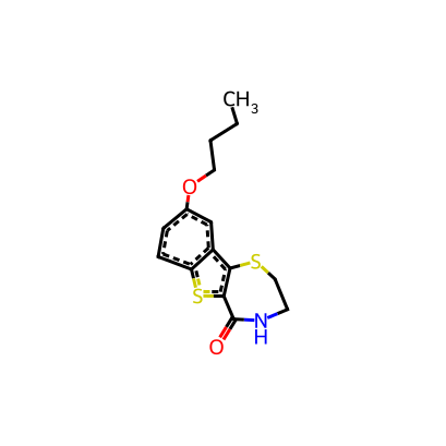 CCCCOc1ccc2sc3c(c2c1)SCCNC3=O